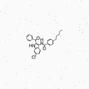 CCCCCc1ccc(C(=O)Nc2c(C(=O)c3ccccc3)[nH]c3cc(Cl)ccc23)cc1